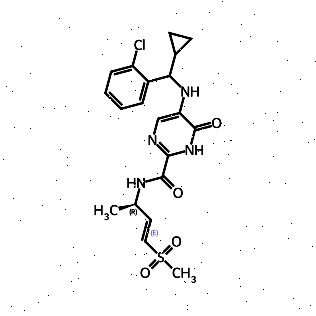 C[C@H](/C=C/S(C)(=O)=O)NC(=O)c1ncc(NC(c2ccccc2Cl)C2CC2)c(=O)[nH]1